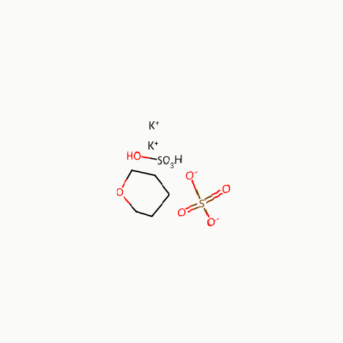 C1CCOCC1.O=S(=O)(O)O.O=S(=O)([O-])[O-].[K+].[K+]